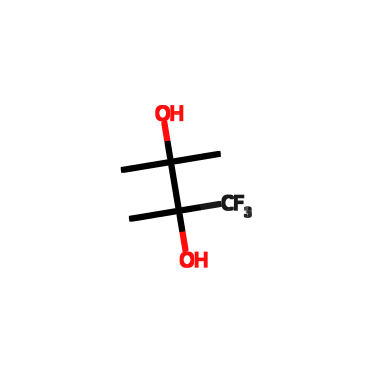 CC(C)(O)C(C)(O)C(F)(F)F